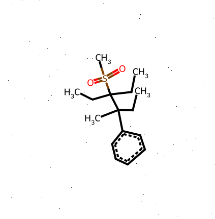 CCC(C)(c1ccccc1)C(CC)(CC)S(C)(=O)=O